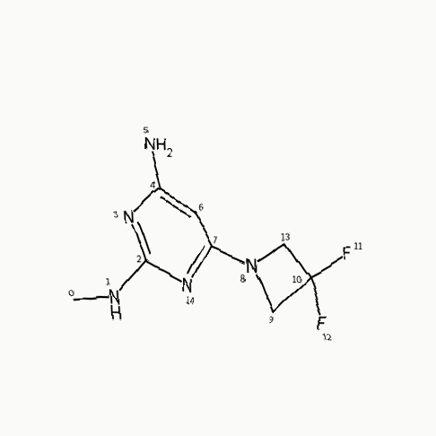 CNc1nc(N)cc(N2CC(F)(F)C2)n1